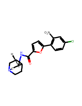 O=C(N[C@H]1CN2CCC1CC2)c1ccc(-c2ccc(Cl)cc2[N+](=O)[O-])o1